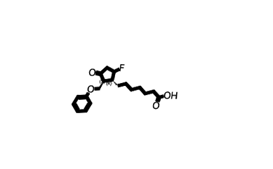 O=C(O)CCCCCC[C@H]1C(F)CC(=O)[C@@H]1COc1ccccc1